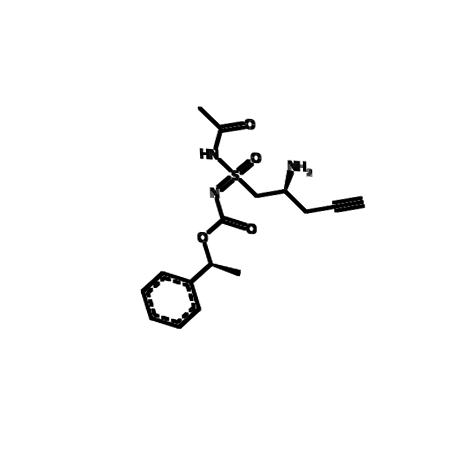 C#CC[C@H](N)CS(=O)(=NC(=O)O[C@@H](C)c1ccccc1)NC(C)=O